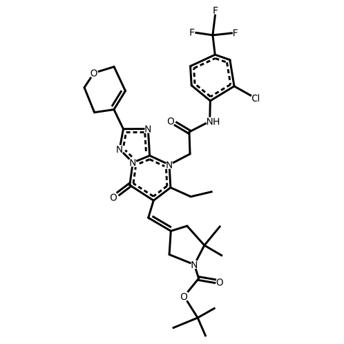 CCc1c(/C=C2/CN(C(=O)OC(C)(C)C)C(C)(C)C2)c(=O)n2nc(C3=CCOCC3)nc2n1CC(=O)Nc1ccc(C(F)(F)F)cc1Cl